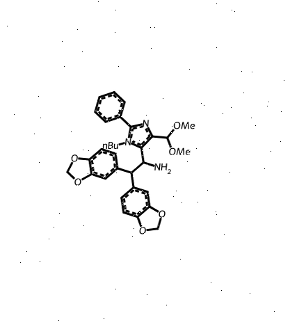 CCCCn1c(-c2ccccc2)nc(C(OC)OC)c1C(N)C(c1ccc2c(c1)OCO2)c1ccc2c(c1)OCO2